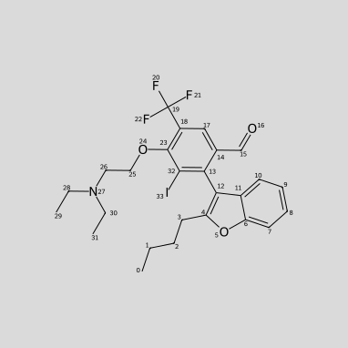 CCCCc1oc2ccccc2c1-c1c(C=O)cc(C(F)(F)F)c(OCCN(CC)CC)c1I